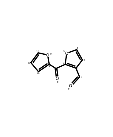 O=[C]c1ccoc1C(=O)c1ccco1